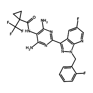 Nc1nc(-c2nn(Cc3ccccc3F)c3ncc(F)cc23)nc(N)c1NC(=O)C1(C(F)(F)F)CC1